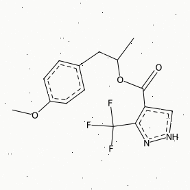 COc1ccc(CC(C)OC(=O)c2c[nH]nc2C(F)(F)F)cc1